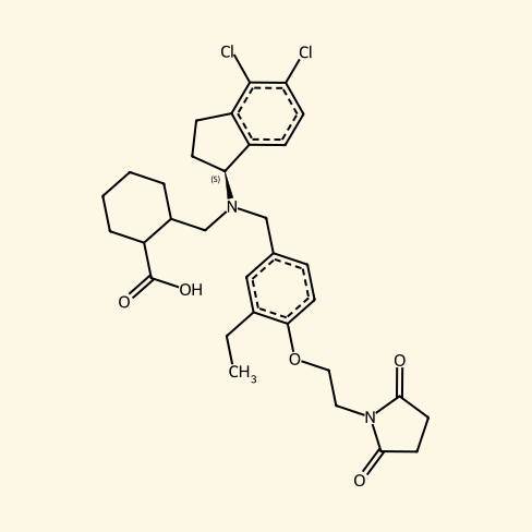 CCc1cc(CN(CC2CCCCC2C(=O)O)[C@H]2CCc3c2ccc(Cl)c3Cl)ccc1OCCN1C(=O)CCC1=O